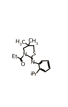 CCC(=O)N1CC(C)(C)CSC1=Nc1ccccc1C(C)C